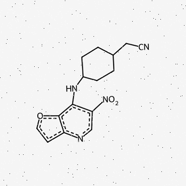 N#CCC1CCC(Nc2c([N+](=O)[O-])cnc3ccoc23)CC1